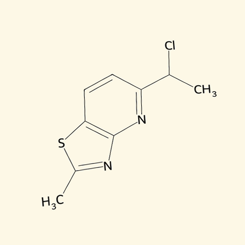 Cc1nc2nc(C(C)Cl)ccc2s1